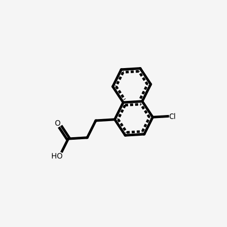 O=C(O)CCc1ccc(Cl)c2ccccc12